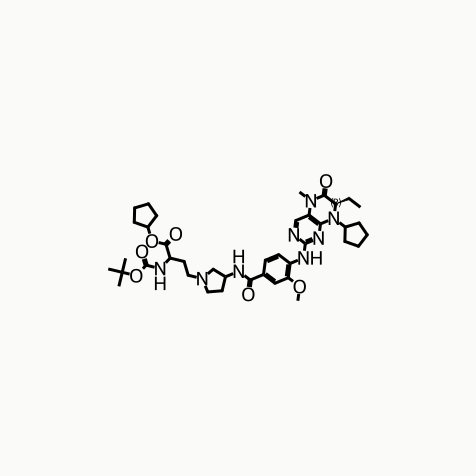 CC[C@@H]1C(=O)N(C)c2cnc(Nc3ccc(C(=O)NC4CCN(CCC(NC(=O)OC(C)(C)C)C(=O)OC5CCCC5)C4)cc3OC)nc2N1C1CCCC1